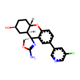 NC1=N[C@]2(CO1)c1cc(-c3cncc(Cl)c3)ccc1O[C@H]1CC[C@H](O)C[C@@H]12